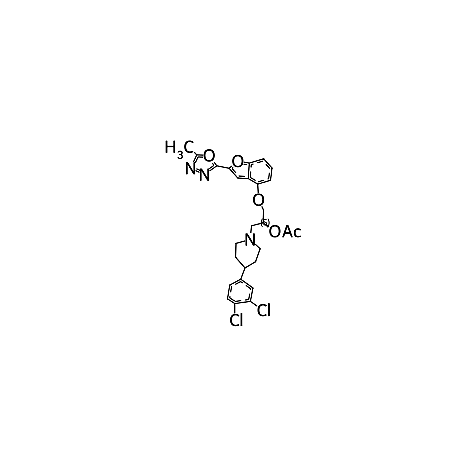 CC(=O)O[C@H](COc1cccc2oc(-c3nnc(C)o3)cc12)CN1CCC(c2ccc(Cl)c(Cl)c2)CC1